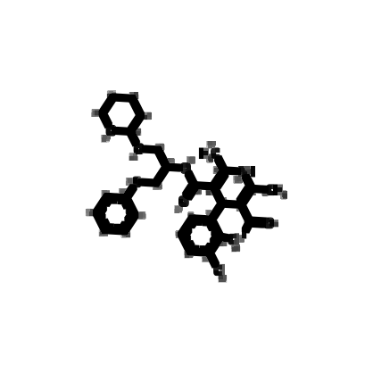 CC1=C(C(=O)I)C(c2cccc(Cl)c2Cl)C(C(=O)OC(COC2CCCCO2)CSc2ccccc2)=C(C)N1